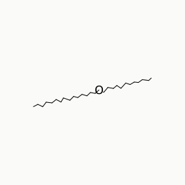 CCCCCCCCCCCCCCCOCCCCCCCCCCCC